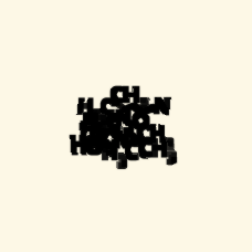 CC(C)[C@@H](/C=C/C#N)N(C)C(=O)[C@@H](N)C(C)(C)C.O=C(O)C(F)(F)F